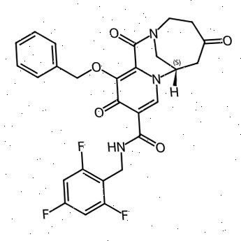 O=C1CCN2C[C@H](C1)n1cc(C(=O)NCc3c(F)cc(F)cc3F)c(=O)c(OCc3ccccc3)c1C2=O